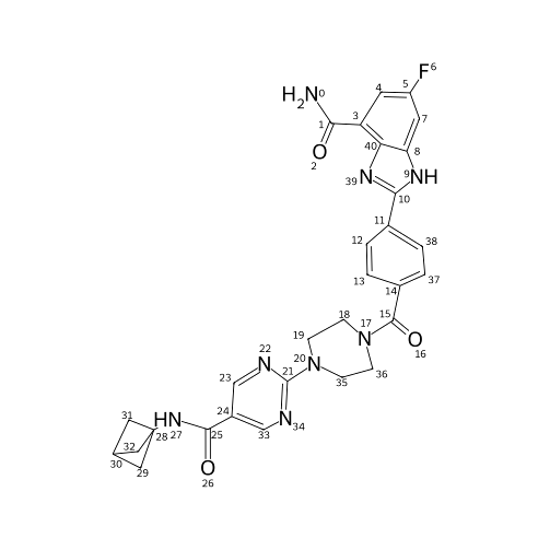 NC(=O)c1cc(F)cc2[nH]c(-c3ccc(C(=O)N4CCN(c5ncc(C(=O)NC67CC(C6)C7)cn5)CC4)cc3)nc12